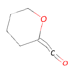 O=C=C1CCCCO1